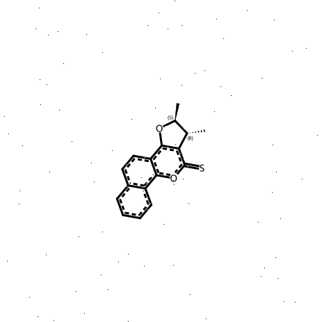 C[C@@H]1Oc2c(c(=S)oc3c2ccc2ccccc23)[C@H]1C